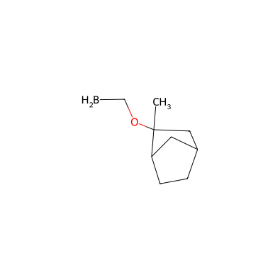 BCOC1(C)CC2CCC1C2